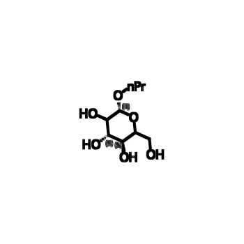 CCCO[C@@H]1OC(CO)[C@@H](O)[C@H](O)C1O